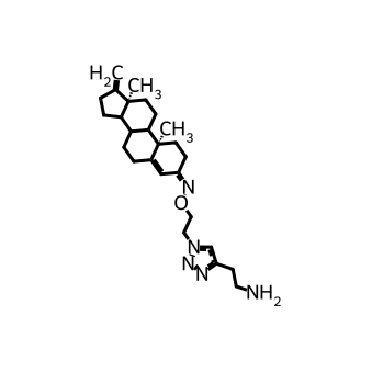 C=C1CCC2C3CCC4=CC(=NOCCn5cc(CCN)nn5)CC[C@]4(C)C3CC[C@]12C